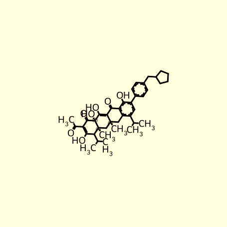 CC(=O)C1=C(O)C(C(C)C)[C@@]2(C)C[C@@]3(C)Cc4c(C(C)C)cc(-c5ccc(CC6CCCC6)cc5)c(O)c4C(=O)C3=C(O)[C@@]2(O)C1=O